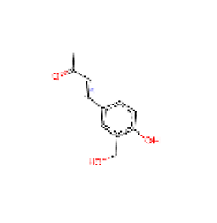 CC(=O)/C=C/c1ccc(O)c(CO)c1